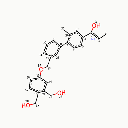 C/C=C(\O)c1ccc(-c2cccc(COc3ccc(CO)c(CO)c3)c2)c(C)c1